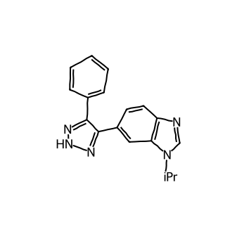 CC(C)n1cnc2ccc(-c3n[nH]nc3-c3ccccc3)cc21